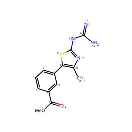 COC(=O)c1cccc(-c2sc(NC(=N)N)nc2C)c1